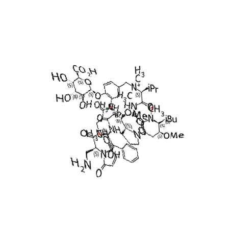 CC[C@H](C)[C@@H]([C@H](CC(=O)N1CCC[C@H]1[C@H](OC)[C@@H](C)C(=O)N[C@H](C)[C@H](O)c1ccccc1)OC)N(C)C(=O)[C@@H](NC(=O)[C@H](C(C)C)[N+](C)(C)Cc1ccc(O[C@@H]2O[C@H](C(=O)O)[C@@H](O)[C@@H](O)[C@@H]2O)c(NC(=O)CCNC(=O)[C@H](CN)N2C(=O)C=CC2=O)c1)C(C)C